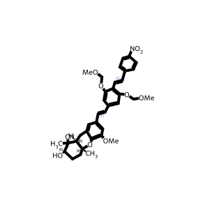 COCOc1cc(/C=C/c2cc3c(c(OC)c2)O[C@]2(C)CC[C@@H](O)C(C)(C)[C@H]2C3)cc(OCOC)c1/C=C/c1ccc([N+](=O)[O-])cc1